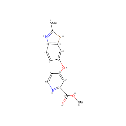 CSc1nc2ccc(Oc3ccnc(C(=O)OC(C)(C)C)c3)cc2s1